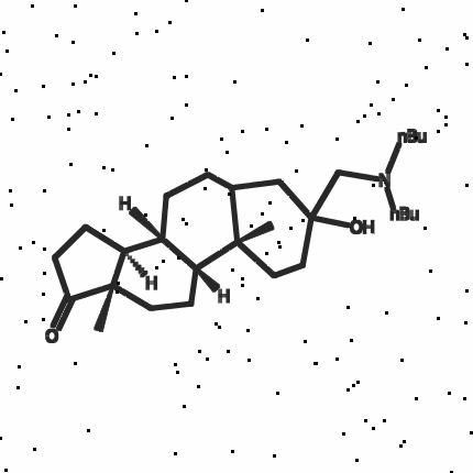 CCCCN(CCCC)CC1(O)CC[C@@]2(C)C(CC[C@@H]3[C@H]2CC[C@]2(C)C(=O)CC[C@@H]32)C1